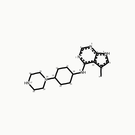 Cc1c[nH]c2ncnc(NC3CCC(N4CCNCC4)CC3)c12